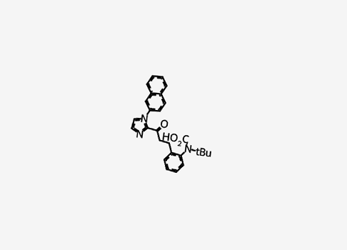 CC(C)(C)N(C(=O)O)c1ccccc1CCC(=O)c1nccn1-c1ccc2ccccc2c1